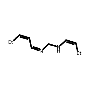 CC/C=C\C=N/CN/C=C\CC